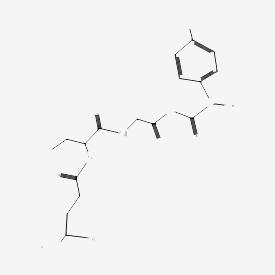 NC(CCC(=O)NC(CS)C(=O)NCC(=O)OC(=O)N(O)c1ccc(I)cc1)C(=O)O